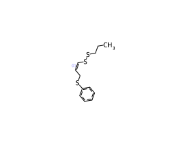 CCCSS/C=C\CSc1ccccc1